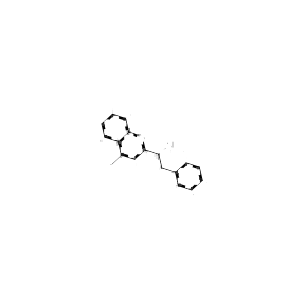 Cc1cc([C@@H](N)Cc2ccccc2)nc2ccccc12